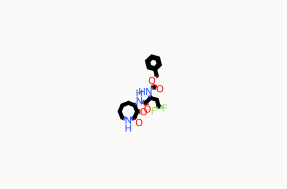 O=C(NC(CC(F)F)C(=O)NC1CCCCNC(=O)C1=O)OCc1ccccc1